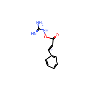 N=C(N)NOC(=O)/C=C/c1ccccc1